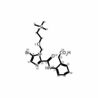 C[Si](C)(C)CCOCn1c(Br)cnc1C(=O)Nc1ccccc1CC(=O)O